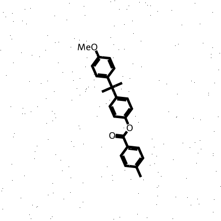 COc1ccc(C(C)(C)c2ccc(OC(=O)c3ccc(C)cc3)cc2)cc1